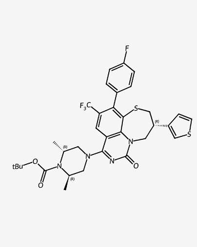 C[C@@H]1CN(c2nc(=O)n3c4c(c(-c5ccc(F)cc5)c(C(F)(F)F)cc24)SC[C@H](c2ccsc2)C3)C[C@@H](C)N1C(=O)OC(C)(C)C